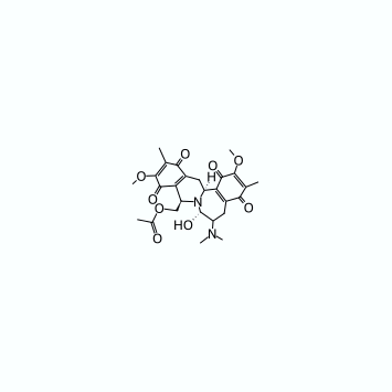 COC1=C(C)C(=O)C2=C(C1=O)[C@H](COC(C)=O)N1[C@@H](C2)C2=C(CC(N(C)C)[C@@H]1O)C(=O)C(C)=C(OC)C2=O